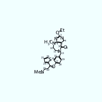 CCOc1ncc2c(n1)N(C)CCN(Cc1ccc(OC(CCNC)c3cccs3)cc1)C2=O